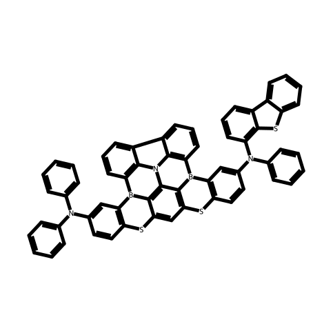 c1ccc(N(c2ccccc2)c2ccc3c(c2)B2c4c(cc5c6c4-n4c7c2cccc7c2cccc(c24)B6c2cc(N(c4ccccc4)c4cccc6c4sc4ccccc46)ccc2S5)S3)cc1